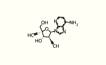 C#C[C@@H]1[C@H](n2cnc3c(N)ccnc32)O[C@](C#C)(CO)[C@H]1O